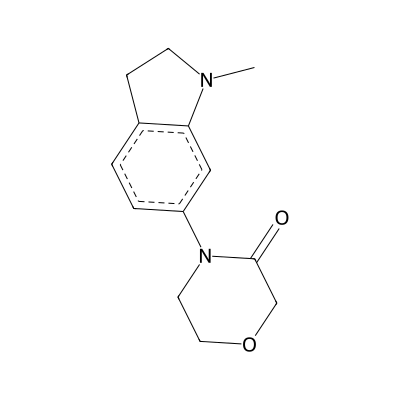 CN1CCc2ccc(N3CCOCC3=O)cc21